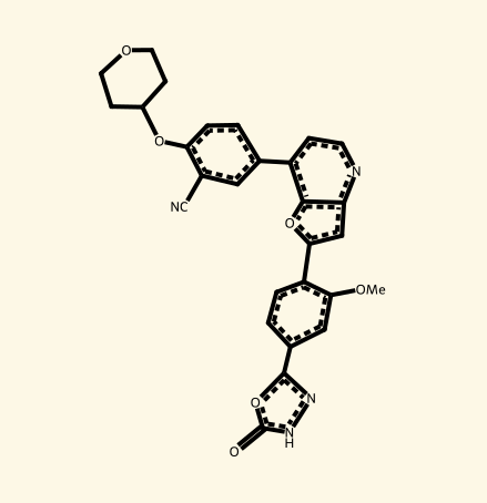 COc1cc(-c2n[nH]c(=O)o2)ccc1-c1cc2nccc(-c3ccc(OC4CCOCC4)c(C#N)c3)c2o1